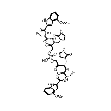 COc1cccc2[nH]c(C(=O)N[C@@H](CC(C)C)C(=O)N[C@@H](C[C@@H]3CCNC3=O)C(=O)COP(=O)(O)OCC(=O)[C@H](C[C@@H]3CCNC3=O)NC(=O)[C@H](CC(C)C)NC(=O)c3cc4c(OC)cccc4[nH]3)cc12